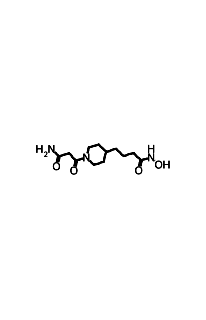 NC(=O)CC(=O)N1CCC(CCCC(=O)NO)CC1